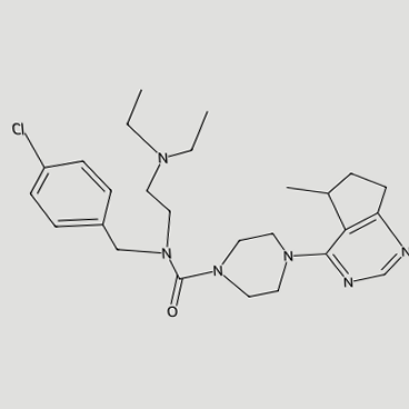 CCN(CC)CCN(Cc1ccc(Cl)cc1)C(=O)N1CCN(c2ncnc3c2C(C)CC3)CC1